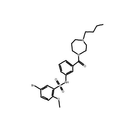 CCCCN1CCCN(C(=O)c2cccc(NS(=O)(=O)c3cc(Br)ccc3OC)c2)CC1